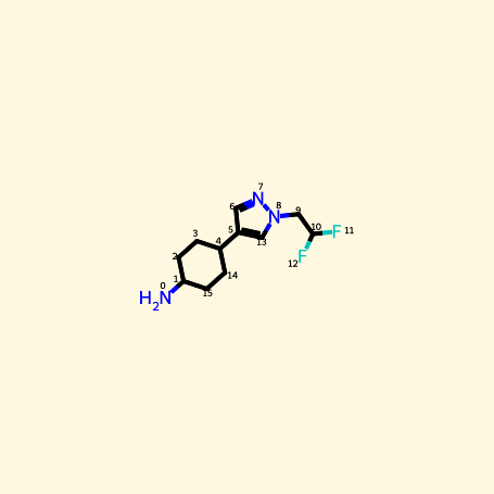 NC1CCC(c2cnn(CC(F)F)c2)CC1